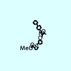 COC(=O)C1CCCN1Cc1cccc(OCc2nc(-c3ccc(-c4ccccc4)cc3)oc2C)c1